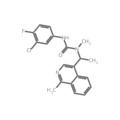 Cc1ncc(C(C)N(C)C(=O)Nc2ccc(F)c(Cl)c2)c2ccccc12